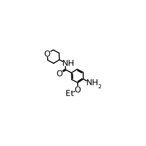 CCOc1cc(C(=O)NC2CCOCC2)ccc1N